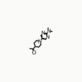 CC(=O)C1CCN(c2cnc(N(C)C)nc2)CC1